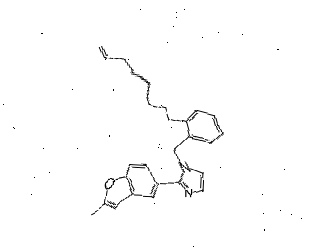 C=CCCCCCCc1ccccc1Cn1ccnc1-c1ccc2oc(C)cc2c1